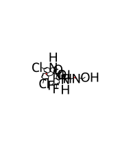 O=C(NCCCNCCO)c1cc(F)c(F)cc1NC1(Cc2cccc(Cl)c2)C(=O)Nc2cc(Cl)ccc21